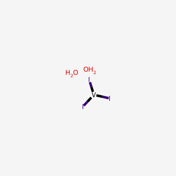 O.O.[I][V]([I])[I]